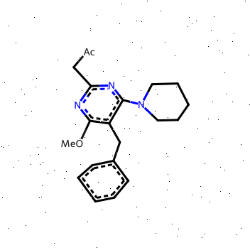 COc1nc(CC(C)=O)nc(N2CCCCC2)c1Cc1ccccc1